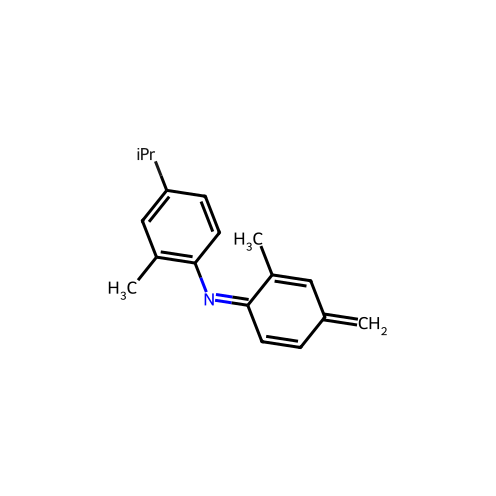 C=C1C=C/C(=N/c2ccc(C(C)C)cc2C)C(C)=C1